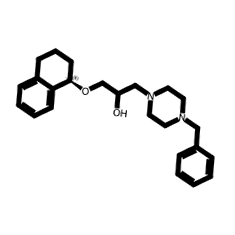 OC(CO[C@@H]1CCCc2ccccc21)CN1CCN(Cc2ccccc2)CC1